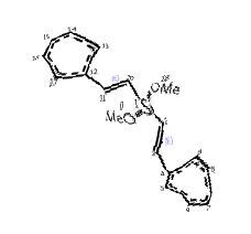 CO[Si](/C=C/c1ccccc1)(/C=C/c1ccccc1)OC